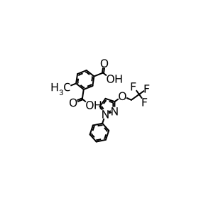 Cc1ccc(C(=O)O)cc1C(=O)O.FC(F)(F)COc1ccn(-c2ccccc2)n1